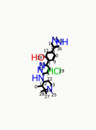 CC1C(Nc2ccc(-c3ccc(-c4cn[nH]c4)cc3O)nn2)CCN(C)C1(C)C.Cl